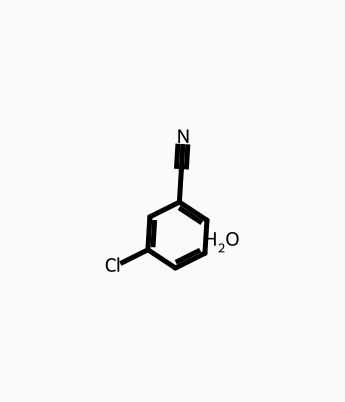 N#Cc1cccc(Cl)c1.O